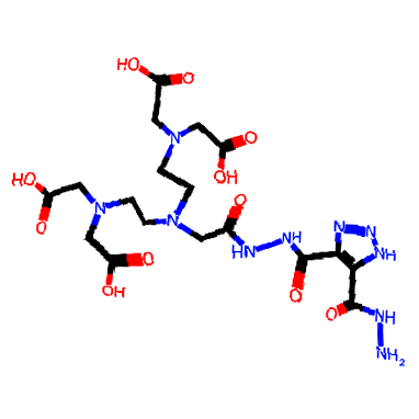 NNC(=O)c1[nH]nnc1C(=O)NNC(=O)CN(CCN(CC(=O)O)CC(=O)O)CCN(CC(=O)O)CC(=O)O